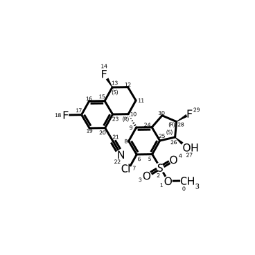 COS(=O)(=O)c1c(Cl)cc([C@H]2CC[C@H](F)c3cc(F)cc(C#N)c32)c2c1[C@H](O)[C@H](F)C2